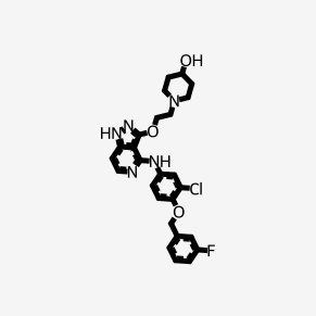 OC1CCN(CCOc2n[nH]c3ccnc(Nc4ccc(OCc5cccc(F)c5)c(Cl)c4)c23)CC1